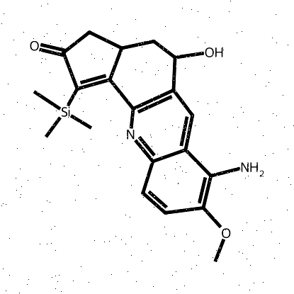 COc1ccc2nc3c(cc2c1N)C(O)CC1CC(=O)C([Si](C)(C)C)=C31